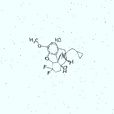 COc1ccc2c3c1OC1C(F)(F)CC[C@@]4(O)[C@@H](C2)N(CC2CC2)CC[C@]314.Cl